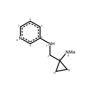 CNC1(CNc2cccnc2)CC1